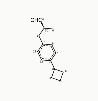 C[C@H](C=O)Cc1ccc(C2CCC2)cc1